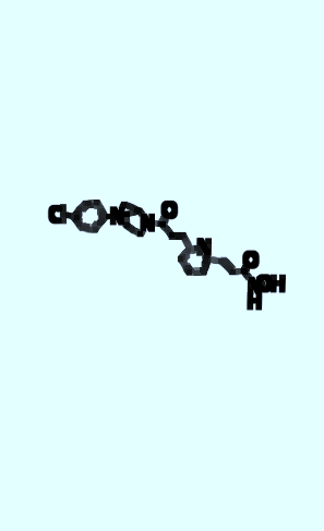 O=C(/C=C/c1cccc(/C=C/C(=O)N2CC3CC2CN3c2ccc(Cl)cc2)n1)NO